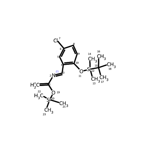 C=C(/N=C/c1cc(Cl)ccc1O[Si](C)(C)C(C)(C)C)O[Si](C)(C)C